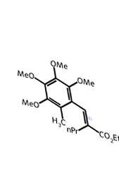 CCC/C(=C\c1c(C)c(OC)c(OC)c(OC)c1OC)C(=O)OCC